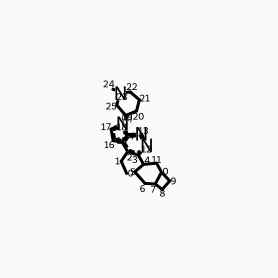 CCc1c(C2CCC3CCC3C2)nnc2c1ccn2[C@@H]1CCCN(C)C1